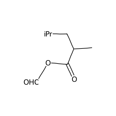 CC(C)CC(C)C(=O)OC=O